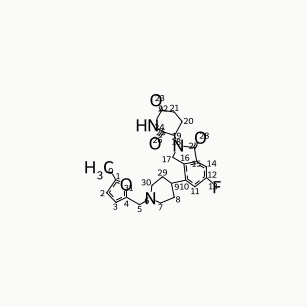 Cc1ccc(CN2CCC(c3cc(F)cc4c3CN(C3CCC(=O)NC3=O)C4=O)CC2)o1